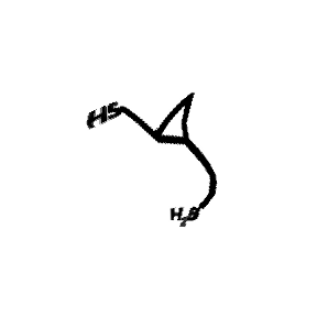 BCC1CC1S